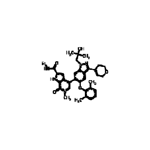 CCNC(=O)c1cc2c(-c3cc4c(cc3Oc3c(C)cccc3C)c(C3=CCOCC3)nn4CC(C)(C)O)cn(C)c(=O)c2[nH]1